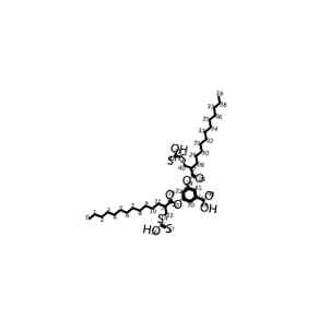 CCCCCCCCCCCCC(CSC(O)=S)C(=O)Oc1cc(OC(=O)C(CCCCCCCCCCCC)CSC(O)=S)cc(C(=O)O)c1